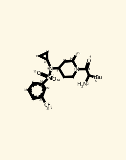 CC(C)(C)C(N)C(=O)N1CCC(N(C2CC2)S(=O)(=O)c2cccc(C(F)(F)F)c2)CC1I